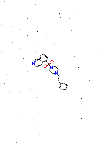 O=S(=O)(c1cccc2cnccc12)N1CCN(CCc2ccccc2)CC1